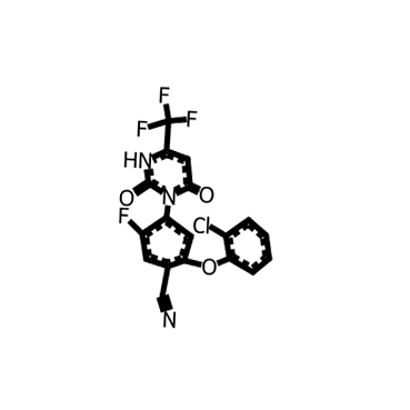 N#Cc1cc(F)c(-n2c(=O)cc(C(F)(F)F)[nH]c2=O)cc1Oc1ccccc1Cl